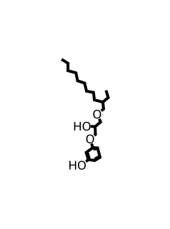 CCCCCCCCCC(CC)COCC(O)COc1cccc(O)c1